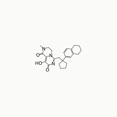 CN1CCn2c(CC3(c4ccc5c(c4)CCCC5)CCCC3)nc(=O)c(O)c2C1=O